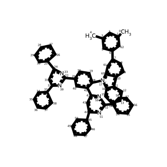 Cc1cc(C)cc(-c2ccc3c4ccccc4n(-c4ccc(-c5nc(-c6ccccc6)cc(-c6ccccc6)n5)cc4-c4cc(-c5ccccc5)nc(-c5ccccc5)n4)c3c2)c1